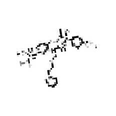 Cc1ccc(S(=O)(=O)N[C@@H](Cc2ccc(OP(=O)(O)C(F)F)cc2)C(=O)NCCCCc2ccccc2)cc1